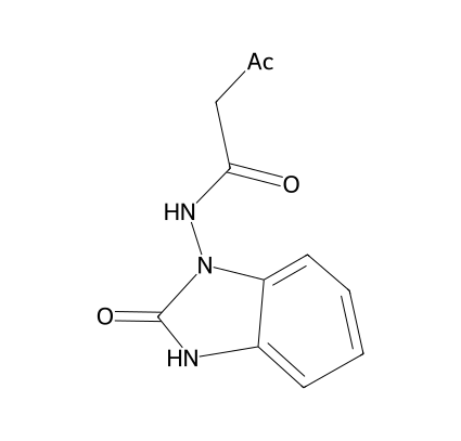 CC(=O)CC(=O)Nn1c(=O)[nH]c2ccccc21